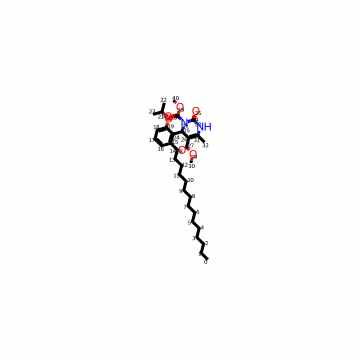 CCCCCCCCCCCCCCCc1cccc(OC(C)C)c1C1C(C(=O)OC)=C(C)NC(=O)N1C(=O)OC